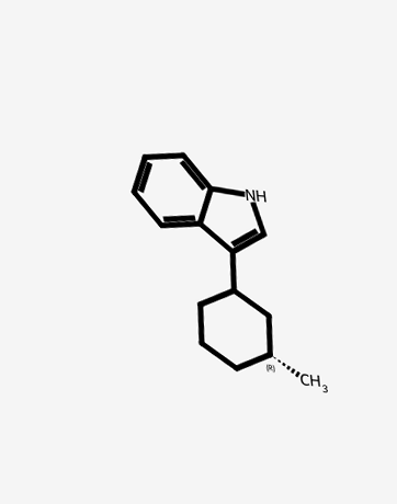 C[C@@H]1CCCC(c2c[nH]c3ccccc23)C1